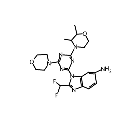 CC1OCCN(c2nc(N3CCOCC3)nc(-n3c(C(F)F)nc4ccc(N)cc43)n2)C1C